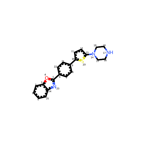 c1ccc2oc(-c3ccc(-c4ccc(N5CCNCC5)s4)cc3)nc2c1